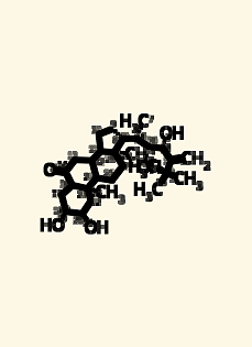 C=C([C@@H](O)[C@H](O)[C@@H](C)[C@H]1CCC2C3CC(=O)C4C[C@H](O)[C@H](O)C[C@]4(C)C3CC[C@@]21C)C(C)(C)C